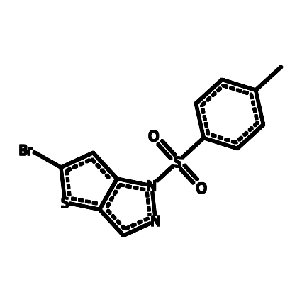 Cc1ccc(S(=O)(=O)n2ncc3sc(Br)cc32)cc1